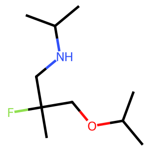 CC(C)NCC(C)(F)COC(C)C